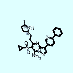 C[C@@H]1CC[C@H](CCc2nc3c(-c4ccc(-c5ccccc5)nc4)cnn3c(N)c2S(=O)(=O)C2CC2)N1